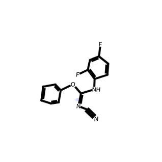 N#C/N=C(\Nc1ccc(F)cc1F)Oc1ccccc1